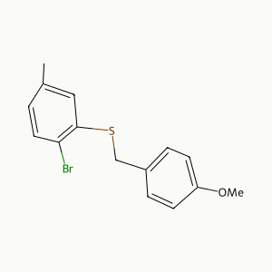 COc1ccc(CSc2cc(C)ccc2Br)cc1